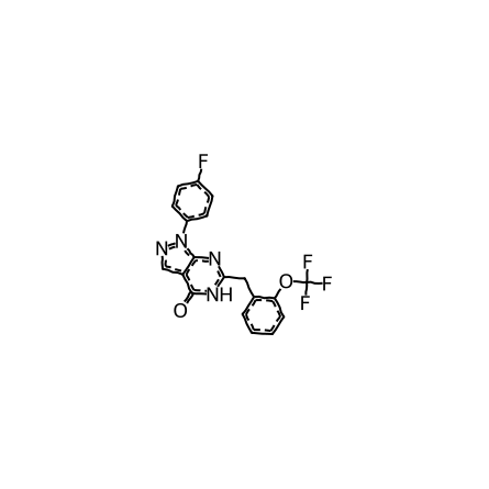 O=c1[nH]c(Cc2ccccc2OC(F)(F)F)nc2c1cnn2-c1ccc(F)cc1